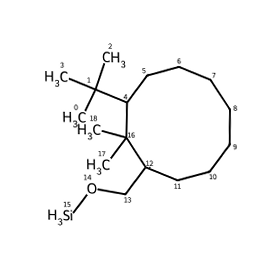 CC(C)(C)C1CCCCCCC[C](CO[SiH3])C1(C)C